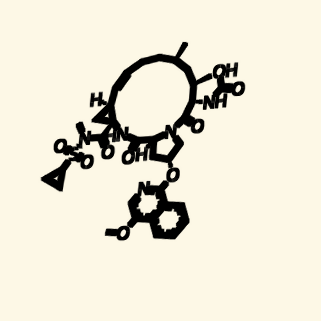 COc1cnc(O[C@@H]2C[C@H]3C(=O)N[C@]4(C(=O)N(C)S(=O)(=O)C5CC5)C[C@H]4C=CCC[C@@H](C)C[C@@H](C)[C@H](NC(=O)O)C(=O)N3C2)c2ccccc12